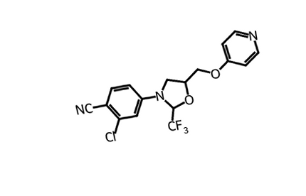 N#Cc1ccc(N2CC(COc3ccncc3)OC2C(F)(F)F)cc1Cl